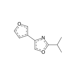 CC(C)c1nc(-c2ccoc2)co1